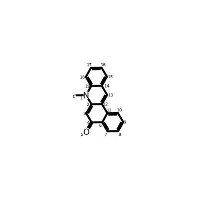 Cn1c2cc(=O)c3ccccc3c-2cc2ccccc21